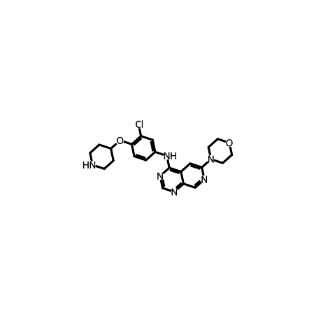 Clc1cc(Nc2ncnc3cnc(N4CCOCC4)cc23)ccc1OC1CCNCC1